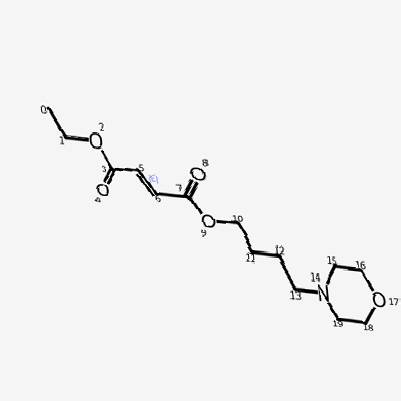 CCOC(=O)/C=C/C(=O)OCCCCN1CCOCC1